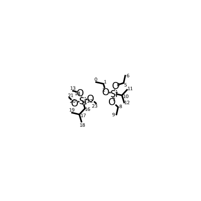 CCO[Si](OCC)(OCC)C(C)C.CO[Si](CC(C)C)(OC)OC